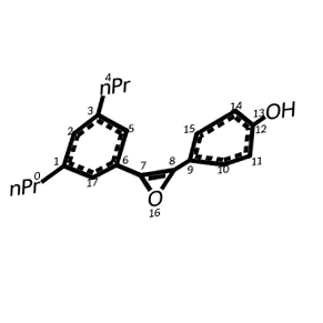 CCCc1cc(CCC)cc(C2=C(c3ccc(O)cc3)O2)c1